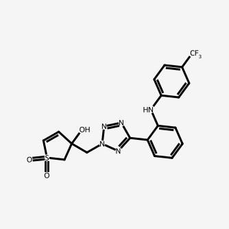 O=S1(=O)C=CC(O)(Cn2nnc(-c3ccccc3Nc3ccc(C(F)(F)F)cc3)n2)C1